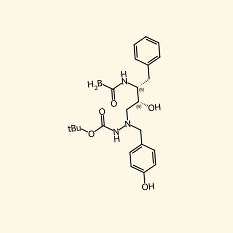 BC(=O)N[C@H](Cc1ccccc1)[C@H](O)CN(Cc1ccc(O)cc1)NC(=O)OC(C)(C)C